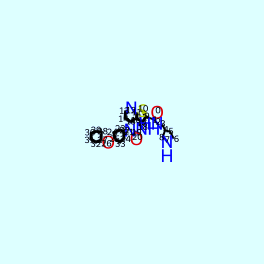 O=C(NCC1CCNC1)c1sc2nccc3c2c1NC(=O)N3c1ccc(Oc2ccccc2)cc1